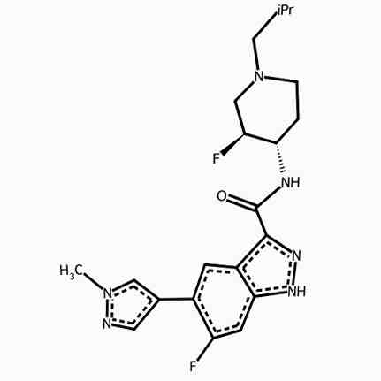 CC(C)CN1CC[C@H](NC(=O)c2n[nH]c3cc(F)c(-c4cnn(C)c4)cc23)[C@@H](F)C1